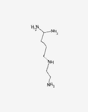 NCCNCCCC(N)N